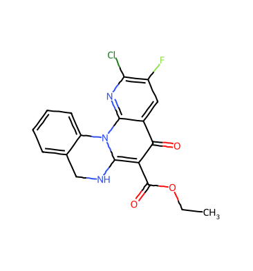 CCOC(=O)c1c2n(c3nc(Cl)c(F)cc3c1=O)-c1ccccc1CN2